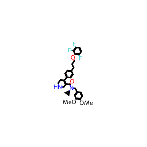 COc1ccc(CN(C(=O)C2=C(c3ccc(CCCOc4c(F)ccc(F)c4F)cc3)CCNC2)C2CC2)cc1OC